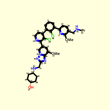 COc1nc(-c2cccc(-c3ccnc(-c4cc(OC)c5nc(CN[C@H]6CC[C@@H](O)CC6)nn5c4)c3Cl)c2Cl)ccc1CNC(C)C